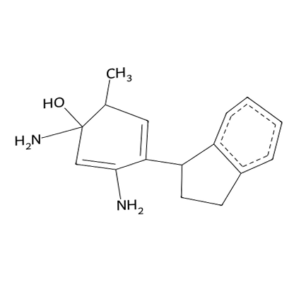 CC1C=C(C2CCc3ccccc32)C(N)=CC1(N)O